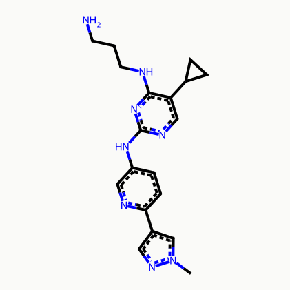 Cn1cc(-c2ccc(Nc3ncc(C4CC4)c(NCCCN)n3)cn2)cn1